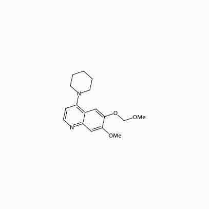 COCOc1cc2c(N3CCCCC3)ccnc2cc1OC